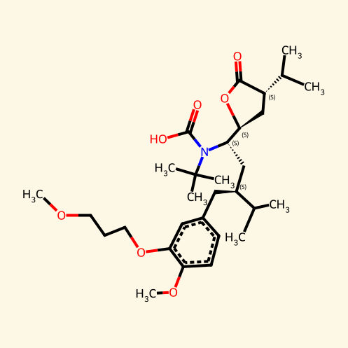 COCCCOc1cc(C[C@@H](C[C@@H]([C@@H]2C[C@@H](C(C)C)C(=O)O2)N(C(=O)O)C(C)(C)C)C(C)C)ccc1OC